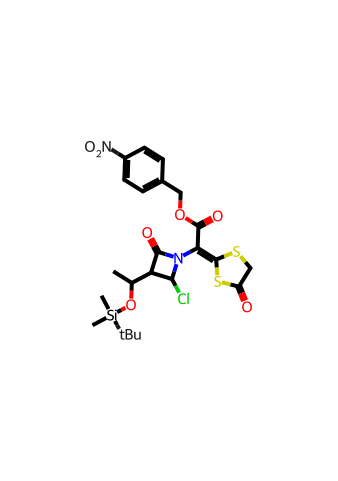 CC(O[Si](C)(C)C(C)(C)C)C1C(=O)N(C(C(=O)OCc2ccc([N+](=O)[O-])cc2)=C2SCC(=O)S2)C1Cl